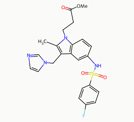 COC(=O)CCn1c(C)c(Cn2ccnc2)c2cc(NS(=O)(=O)c3ccc(F)cc3)ccc21